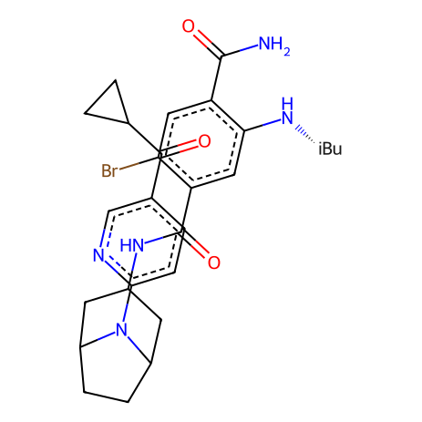 CC[C@@H](C)Nc1cc(C(=O)NC2CC3CCC(C2)N3c2ccc(C(=O)C3CC3)cn2)c(Br)cc1C(N)=O